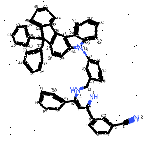 N#Cc1cccc(C(=N)/C=C(\NCc2cccc(-n3c4ccccc4c4c5c(ccc43)C(c3ccccc3)(c3ccccc3)c3ccccc3-5)c2)c2ccccc2)c1